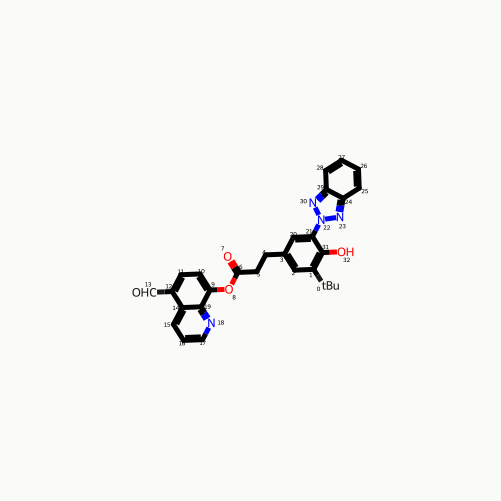 CC(C)(C)c1cc(CCC(=O)Oc2ccc(C=O)c3cccnc23)cc(-n2nc3ccccc3n2)c1O